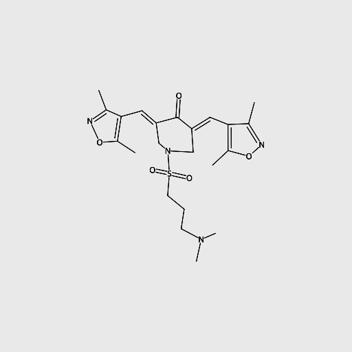 Cc1noc(C)c1/C=C1\CN(S(=O)(=O)CCCN(C)C)C/C(=C\c2c(C)noc2C)C1=O